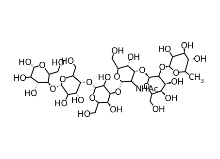 CC(=O)NC1[C@H](O[C@@H]2C(O)[C@@H](O[C@H]3C(CO)O[C@@H](O[C@@H]4C(CO)O[C@@H](O)C(O)[C@H]4O)C(O)[C@H]3O)OC(CO)[C@@H]2O)OC(CO)[C@H](O)[C@@H]1O[C@@H]1OC(CO)[C@H](O)[C@H](O)C1O[C@@H]1OC(C)[C@@H](O)[C@H](O)C1O